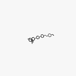 C=CC1CCC(CCc2ccc(-c3ccc(-c4ccc(OCC)c(F)c4)cc3)cc2)CC1